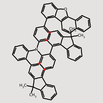 CC1(C)c2ccccc2-c2ccc(-c3ccccc3N(c3ccc(-c4cccc5oc6c7ccccc7ccc6c45)cc3)c3ccccc3-c3cccc4c3-c3ccccc3C4(C)C)cc21